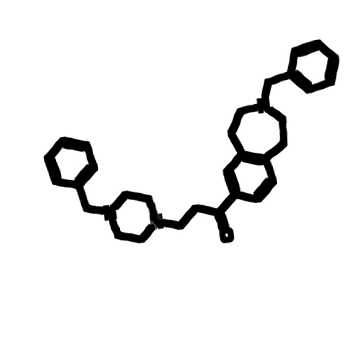 O=C(CCN1CCN(Cc2ccccc2)CC1)c1ccc2c(c1)CCN(Cc1ccccc1)CC2